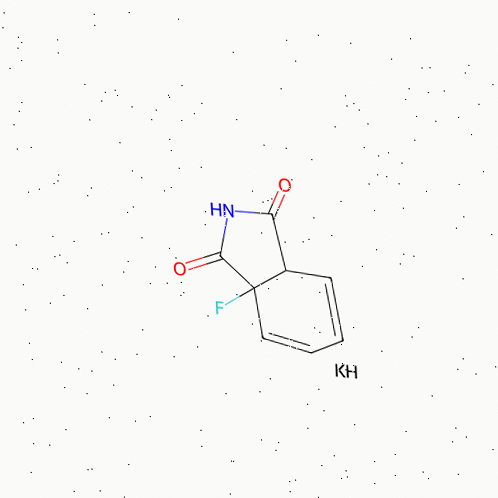 O=C1NC(=O)C2(F)C=CC=CC12.[KH]